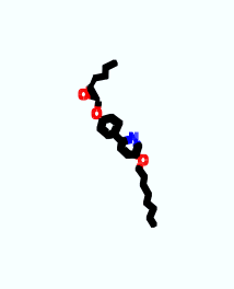 CCCCCCCCOc1ccc(-c2ccc(OC[C@@H]3O[C@H]3CCCC)cc2)nc1